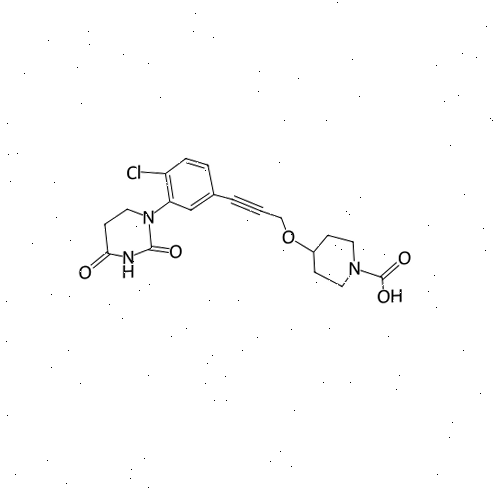 O=C1CCN(c2cc(C#CCOC3CCN(C(=O)O)CC3)ccc2Cl)C(=O)N1